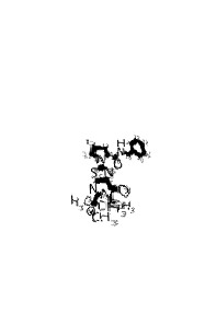 COC(C)(C)c1nc2sc(N3CCC[C@@H]3C(=O)NCc3ccccc3)nc2c(=O)n1C